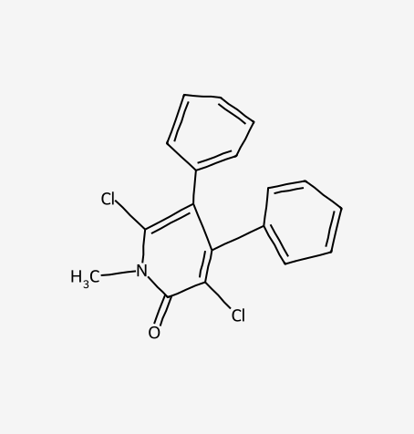 Cn1c(Cl)c(-c2ccccc2)c(-c2ccccc2)c(Cl)c1=O